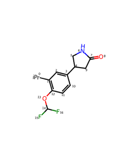 CC(C)c1cc(C2CNC(=O)C2)ccc1OC(F)F